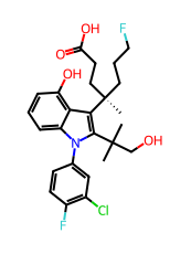 CC(C)(CO)c1c([C@](C)(CCCF)CCC(=O)O)c2c(O)cccc2n1-c1ccc(F)c(Cl)c1